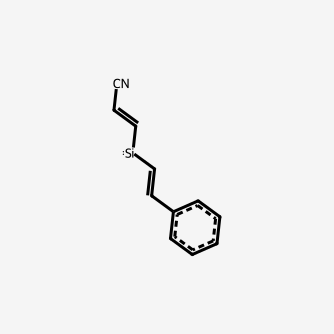 N#CC=C[Si]C=Cc1ccccc1